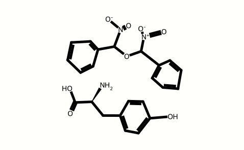 N[C@@H](Cc1ccc(O)cc1)C(=O)O.O=[N+]([O-])C(OC(c1ccccc1)[N+](=O)[O-])c1ccccc1